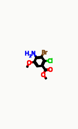 COC(=O)c1cc(OC)c(N)c(Br)c1Cl